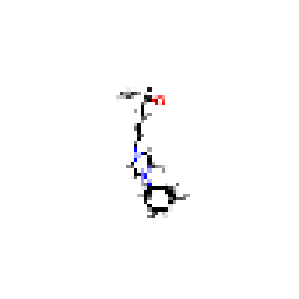 COC(=O)CCCCCN1CCN(c2ccccc2)CC1